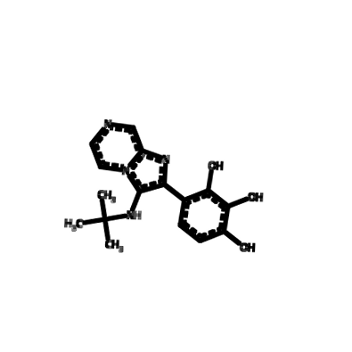 CC(C)(C)Nc1c(-c2ccc(O)c(O)c2O)nc2cnccn12